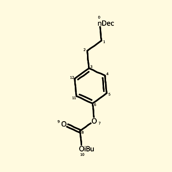 CCCCCCCCCCCCc1ccc(OC(=O)OCC(C)C)cc1